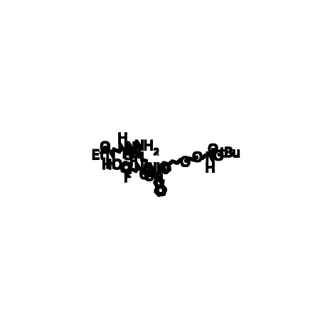 CCC(=O)NCCNC(=O)/N=C(/N)NCCC[C@@H](NC(=O)C(c1ccc(CCCOCCOCCNC(=O)OC(C)(C)C)cc1)N1Cc2ccccc2C1)C(=O)NCc1c(F)cc(O)cc1F